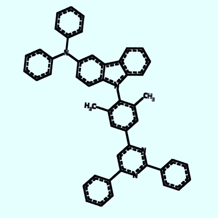 Cc1cc(-c2cc(-c3ccccc3)nc(-c3ccccc3)n2)cc(C)c1-n1c2ccccc2c2cc(N(c3ccccc3)c3ccccc3)ccc21